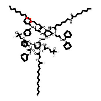 CCCCCCCCCCCCCC(=O)O[C@@H]1[C@H](NC(=O)CCCCCNC(=O)CCCCCCC)[C@@H](OCCOP(c2ccccc2)c2ccccc2)O[C@H](CO[C@@H]2O[C@H](COC(=O)OCC(Cl)(Cl)Cl)[C@@H](OP(=O)(Oc3ccccc3)Oc3ccccc3)[C@H](OC(=O)CNC(=O)CCCCCCCCCCC)[C@@H]2NC(=O)OCC(Cl)(Cl)Cl)[C@H]1OCCOP(c1ccccc1)c1ccccc1